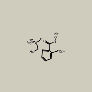 O=C([O-])c1ccccc1C(=O)O[O-].[Mg+2].[Na+].[O-]B(O)OO